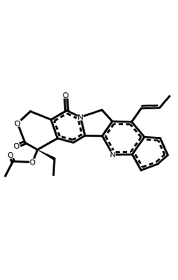 CC=Cc1c2c(nc3ccccc13)-c1cc3c(c(=O)n1C2)COC(=O)[C@@]3(CC)OC(C)=O